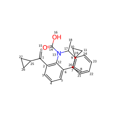 C=C(c1cccc(C(=C)C2CC2)c1N(C(=O)O)C(C)c1ccccc1)C1CC1